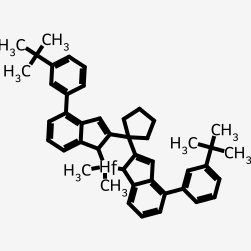 CC(C)(C)c1cccc(-c2cccc3c2C=C2[CH]3[Hf]([CH3])([CH3])[CH]3C(=Cc4c(-c5cccc(C(C)(C)C)c5)cccc43)C23CCCC3)c1